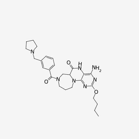 CCCCOc1nc(N)c2c(n1)N1CCCN(C(=O)c3cccc(CN4CCCC4)c3)CC1C(=O)N2